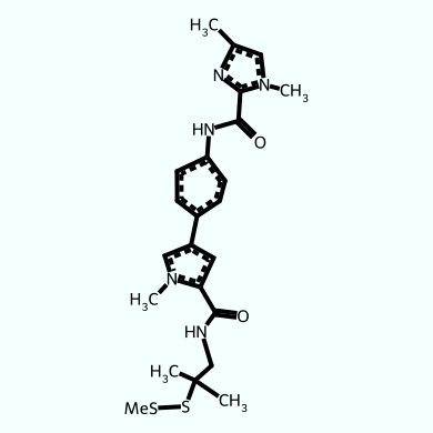 CSSC(C)(C)CNC(=O)c1cc(-c2ccc(NC(=O)c3nc(C)cn3C)cc2)cn1C